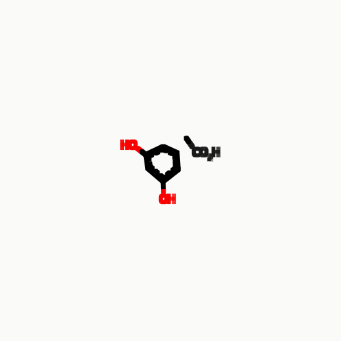 CC(=O)O.Oc1cccc(O)c1